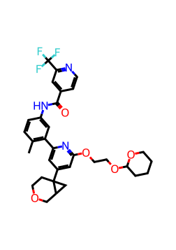 Cc1ccc(NC(=O)c2ccnc(C(F)(F)F)c2)cc1-c1cc(C23CCOCC2C3)cc(OCCOC2CCCCO2)n1